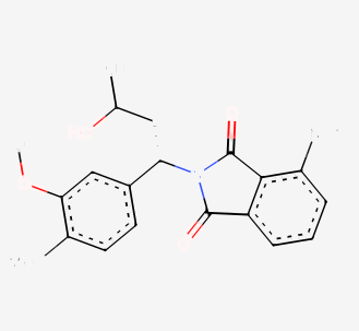 CCOc1cc([C@H](CC(C)O)N2C(=O)c3cccc(NC(C)=O)c3C2=O)ccc1OC